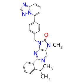 CC(C)c1ccccc1-c1ncc2c(n1)n(Cc1ccc(-c3cccc4ncnn34)cc1)c(=O)n2C